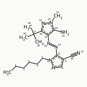 CCCCCCn1ncc(C#N)c1N=Nc1c(C(C)(C)C)nn(C)c1N